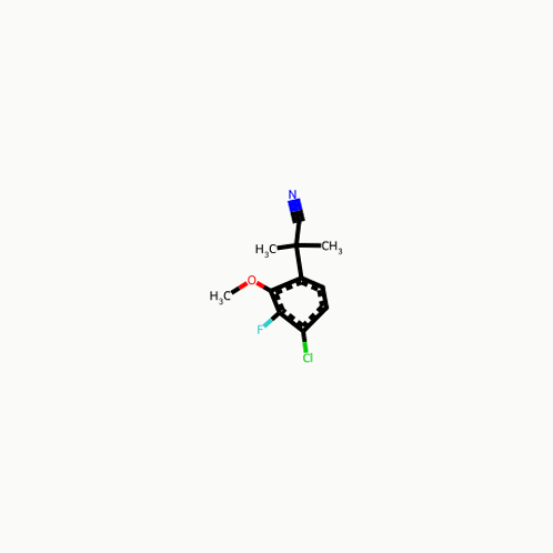 COc1c(C(C)(C)C#N)ccc(Cl)c1F